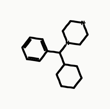 c1ccc(C(C2CCCCC2)N2CC[N]CC2)cc1